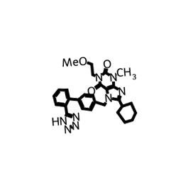 COCCn1c(=O)c2c(nc(C3CCCCC3)n2Cc2ccc(-c3ccccc3-c3nnn[nH]3)cc2)n(C)c1=O